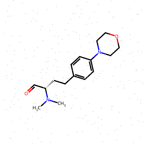 CN(C)[C@H](C=O)CCc1ccc(N2CCOCC2)cc1